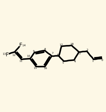 C=CCC1CCC(c2ccc(C=C(F)F)cc2)CC1